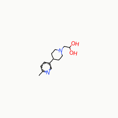 Cc1ccc(C2CCN(CC(O)O)CC2)cn1